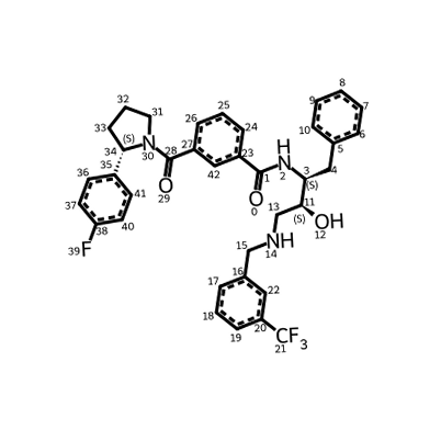 O=C(N[C@@H](Cc1ccccc1)[C@@H](O)CNCc1cccc(C(F)(F)F)c1)c1cccc(C(=O)N2CCC[C@H]2c2ccc(F)cc2)c1